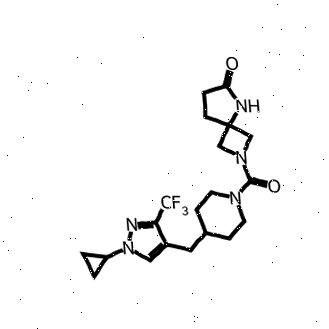 O=C1CCC2(CN(C(=O)N3CCC(Cc4cn(C5CC5)nc4C(F)(F)F)CC3)C2)N1